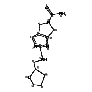 NC(=O)N1Cc2cnc(NCC3CCCO3)nc2C1